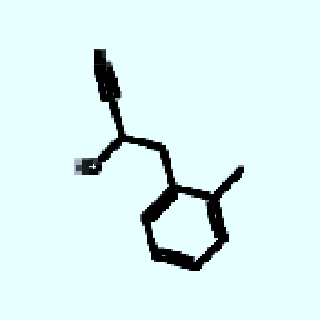 Cc1ccccc1CC(O)C#N